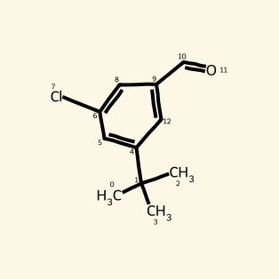 CC(C)(C)c1cc(Cl)cc(C=O)c1